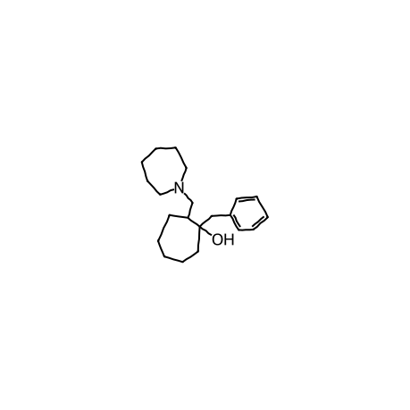 OC1(Cc2ccccc2)CCCCCC1CN1CCCCCC1